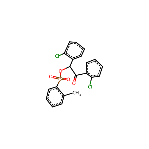 Cc1ccccc1S(=O)(=O)OC(C(=O)c1ccccc1Cl)c1ccccc1Cl